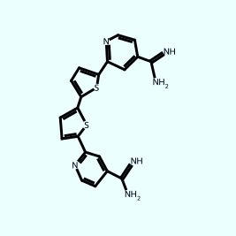 N=C(N)c1ccnc(-c2ccc(-c3ccc(-c4cc(C(=N)N)ccn4)s3)s2)c1